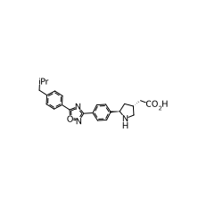 CC(C)Cc1ccc(-c2nc(-c3ccc([C@H]4C[C@H](CC(=O)O)CN4)cc3)no2)cc1